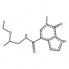 CCOC(C)CNC(=O)c1cn(C)c(=O)c2[nH]ccc12